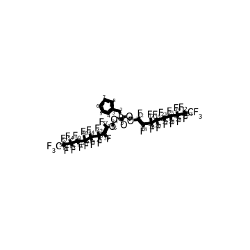 O=P(Cc1ccccc1)(OOC(F)=C(F)C(F)(F)C(F)(F)C(F)(F)C(F)(F)C(F)(F)C(F)(F)C(F)(F)F)OOC(F)=C(F)C(F)(F)C(F)(F)C(F)(F)C(F)(F)C(F)(F)C(F)(F)C(F)(F)F